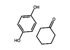 O=C1CCCCC1.Oc1ccc(O)cc1